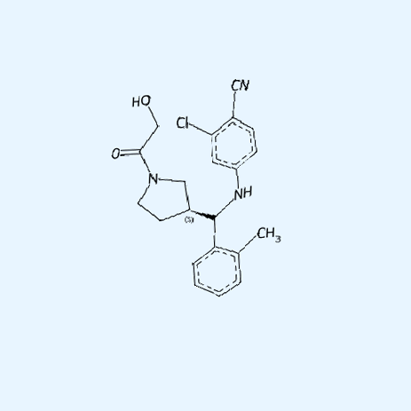 Cc1ccccc1C(Nc1ccc(C#N)c(Cl)c1)[C@H]1CCN(C(=O)CO)C1